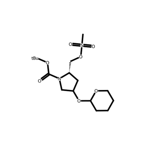 CC(C)(C)OC(=O)N1CC(OC2CCCCO2)C[C@H]1COS(C)(=O)=O